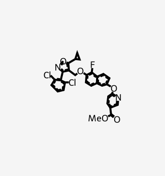 COC(=O)c1ccc(Oc2ccc3c(F)c(OCc4c(-c5c(Cl)cccc5Cl)noc4C4CC4)ccc3c2)nc1